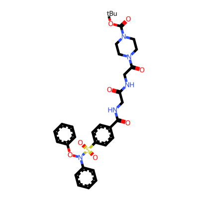 CC(C)(C)OC(=O)N1CCN(C(=O)CNC(=O)CNC(=O)c2ccc(S(=O)(=O)N(Oc3ccccc3)c3ccccc3)cc2)CC1